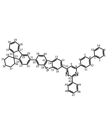 c1ccc(-c2ccc(-c3cc(-c4ccc5c(c4)sc4cc(-c6ccc7c(c6)-c6ccccc6C76CCCCC6)ccc45)nc(-c4ccccc4)n3)cc2)cc1